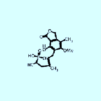 COc1c(C)c2c(c(O)c1C/C=C(\C)CC(C#N)P(=O)(O)O)C(=O)OC2